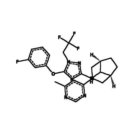 Cc1cc(N2C[C@H]3CC[C@@H](C2)C3Nc2nc(Oc3cccc(F)c3)n(CC(F)(F)F)n2)ncn1